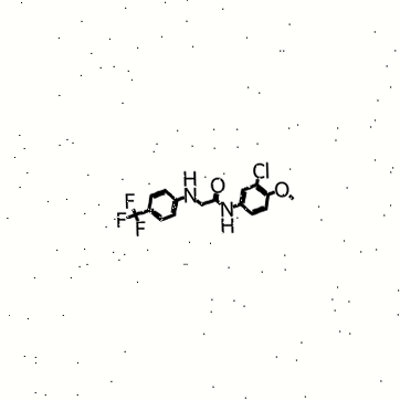 COc1ccc(NC(=O)CNc2ccc(C(F)(F)F)cc2)cc1Cl